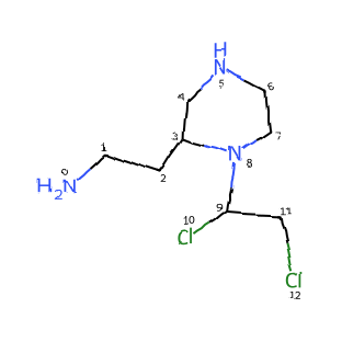 NCCC1CNCCN1C(Cl)CCl